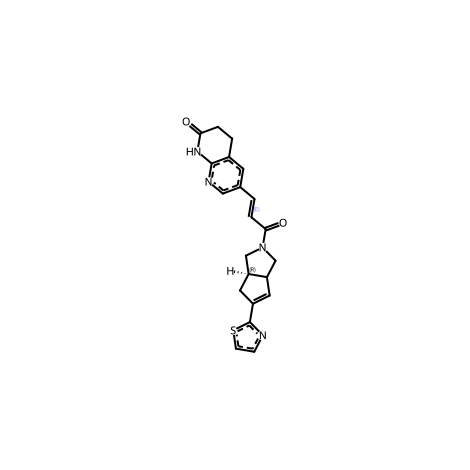 O=C1CCc2cc(/C=C/C(=O)N3CC4C=C(c5nccs5)C[C@H]4C3)cnc2N1